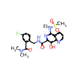 CCN(c1nc(C(=O)NCc2ccc(F)cc2C(=O)N(C)C)c(O)c2ncccc12)S(C)(=O)=O